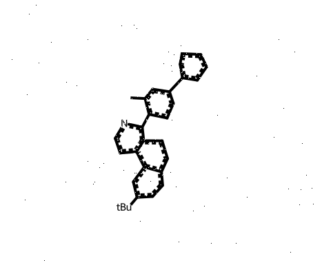 Cc1cc(-c2ccccc2)ccc1-c1nccc2c1ccc1ccc(C(C)(C)C)cc12